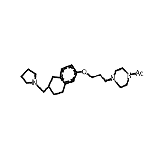 CC(=O)N1CCN(CCCOc2ccc3c(c2)CCC(CN2CCCC2)C3)CC1